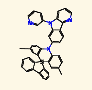 Cc1ccc2c(c1)[Si]1(c3ccccc3-c3ccccc31)c1cc(C)ccc1N2c1ccc2c3ncccc3n(-c3cccnc3)c2c1